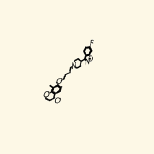 Cc1c(OCCCCN2CCC(c3noc4cc(F)ccc34)CC2)ccc2c1OCCC2=O